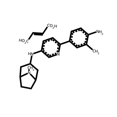 Cc1cc(-c2ccc(NC3CC4CCC(C3)N4C)cn2)ccc1N.O=C(O)/C=C/C(=O)O